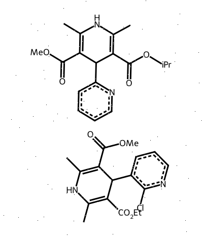 CCOC(=O)C1=C(C)NC(C)=C(C(=O)OC)C1c1cccnc1Cl.COC(=O)C1=C(C)NC(C)=C(C(=O)OC(C)C)C1c1ccccn1